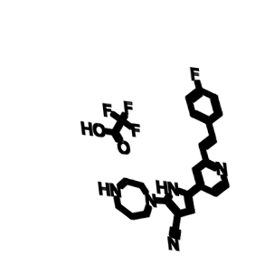 N#Cc1cc(-c2ccnc(/C=C/c3ccc(F)cc3)c2)[nH]c1N1CCCNCC1.O=C(O)C(F)(F)F